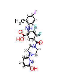 Cc1cc(I)ccc1Nc1c(C(=O)O)cc(C(=O)N2CCN(c3cccc(O)n3)CC2)c(F)c1F